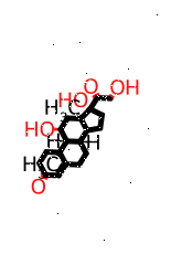 C[C@]12CCC(=O)C=C1CC[C@@H]1C3CCC(O)(C(=O)CO)[C@]3(C)C[C@H](O)[C@@H]12